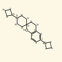 c1cc2c(cc1N1CCC1)CCC1(CCN(C3CCC3)CC1)O2